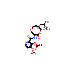 COc1ccnc(C(=O)N[C@H]2COCC[C@@H](CC(C)C)[C@H](C)OC2=O)c1OC(C)=O